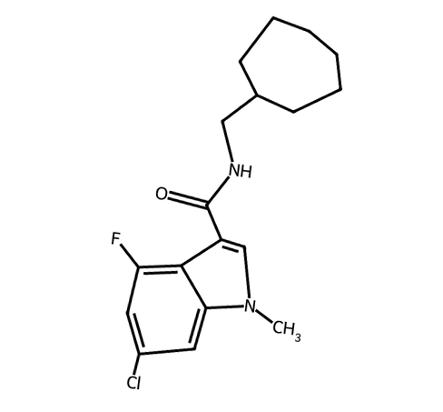 Cn1cc(C(=O)NCC2CCCCCC2)c2c(F)cc(Cl)cc21